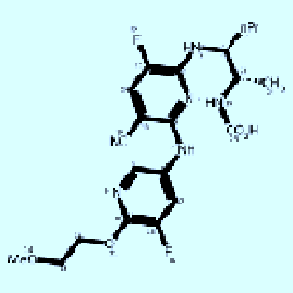 CCC[C@H](Nc1nc(Nc2cnc(OCCOC)c(F)c2)c(C#N)cc1F)[C@H](C)NC(=O)O